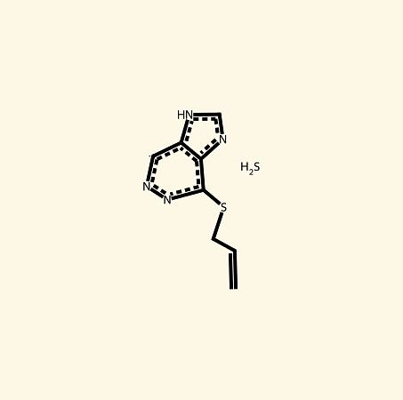 C=CCSc1nn[c]c2[nH]cnc12.S